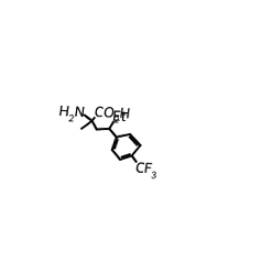 CCC(CC(C)(N)C(=O)O)c1ccc(C(F)(F)F)cc1